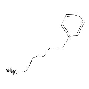 CCCCCCCCCCCC[si]1ccccc1